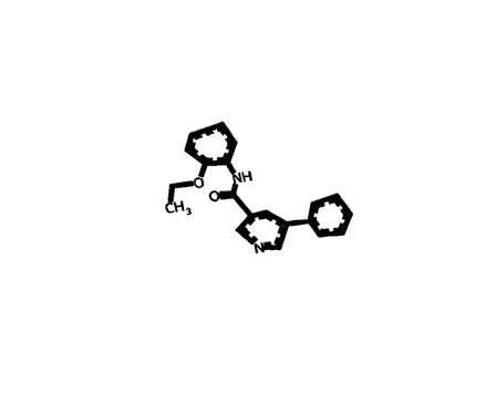 CCOc1ccccc1NC(=O)c1cncc(-c2ccccc2)c1